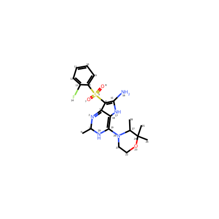 CC1N=c2c(S(=O)(=O)c3ccccc3F)c(N)[nH]c2=C(N2CCOC(C)(C)C2C)N1